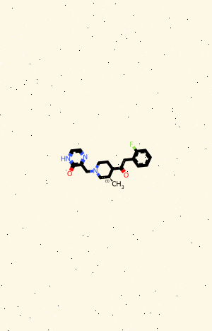 C[C@@H]1CN(Cc2ncc[nH]c2=O)CCC1C(=O)Cc1ccccc1F